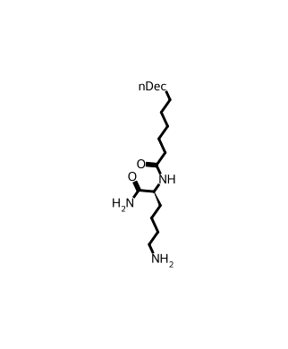 CCCCCCCCCCCCCCCC(=O)N[C@@H](CCCCN)C(N)=O